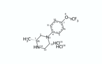 C[C@@H]1CN(c2ccc(OC(F)(F)F)cc2)CCN1.Cl.Cl